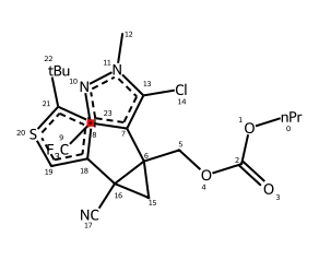 CCCOC(=O)OCC1(c2c(C(F)(F)F)nn(C)c2Cl)CC1(C#N)c1csc(C(C)(C)C)n1